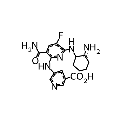 NC(=O)c1cc(F)c(NC2CCCC[C@@H]2N)nc1Nc1cncc(C(=O)O)c1